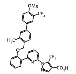 COc1ccc(-c2ccc(COc3ccccc3-c3cccc(-n4ncc(C(=O)O)c4C(F)(F)F)n3)c(C)c2)cc1C(F)(F)F